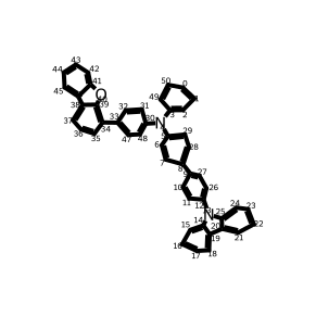 c1ccc(N(c2ccc(-c3ccc(-n4c5ccccc5c5ccccc54)cc3)cc2)c2ccc(-c3cccc4c3oc3ccccc34)cc2)cc1